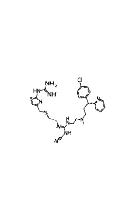 CN(CCN/C(=N\CCSCc1csc(NC(=N)N)n1)NC#N)CCC(c1ccc(Cl)cc1)c1ccccn1